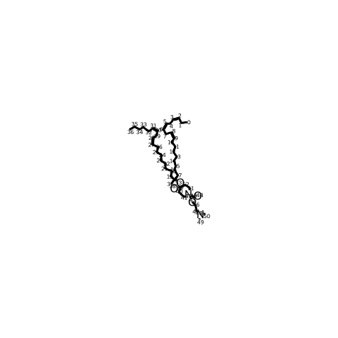 CC/C=C\C/C=C\C/C=C\CCCCCCCCC1(CCCCCCCC/C=C\C/C=C\CCCCC)COC2(CCN(C(=O)OCCN(C)C)CC2)O1